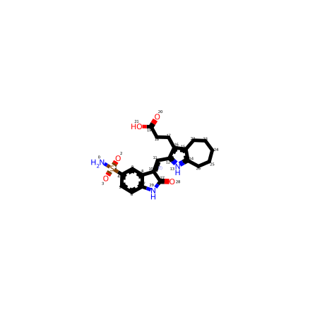 NS(=O)(=O)c1ccc2c(c1)/C(=C/c1[nH]c3c(c1CCC(=O)O)CCCCC3)C(=O)N2